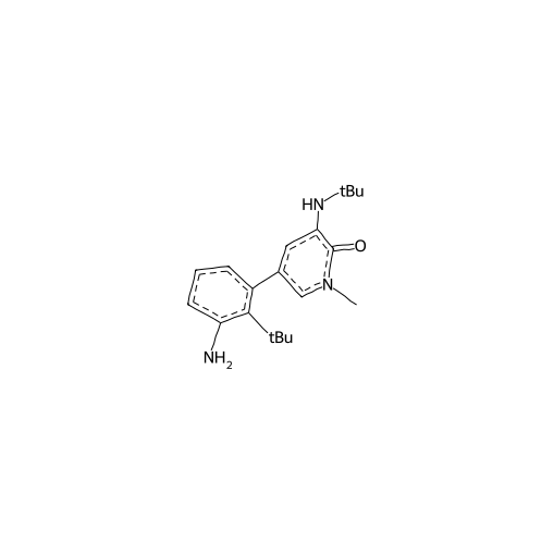 Cn1cc(-c2cccc(N)c2C(C)(C)C)cc(NC(C)(C)C)c1=O